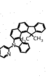 CC1(C)c2ccccc2-c2ccc3ccc4c(c5ccccc5n4-c4ccccn4)c3c21